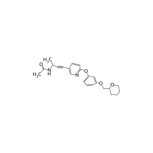 CC(=O)NC(C)C#Cc1ccc(Oc2cccc(OCC3CCCCO3)c2)nc1